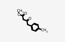 COC(=O)CC(=O)Cc1ccc(C)cc1